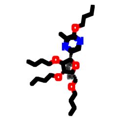 CCCCOC[C@H]1O[C@@H](c2cnc(OCCCC)c(C)n2)C(OCCCC)[C@H]1OCCCC